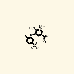 COC(=O)c1cc(Br)c(N)[n+](N)c1.Cc1ccc(S(=O)(=O)[O-])cc1